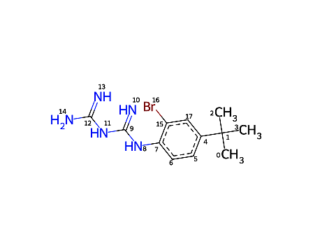 CC(C)(C)c1ccc(NC(=N)NC(=N)N)c(Br)c1